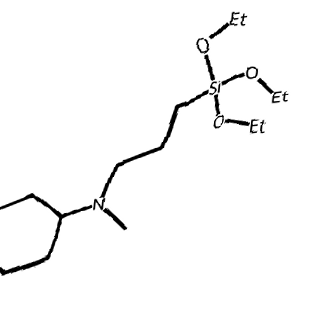 CCO[Si](CCCN(C)C1CCCCC1)(OCC)OCC